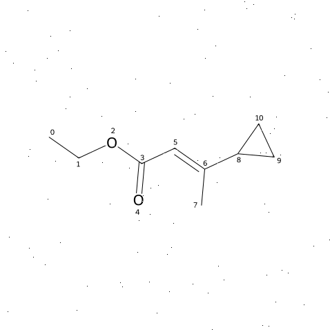 CCOC(=O)/C=C(\C)C1CC1